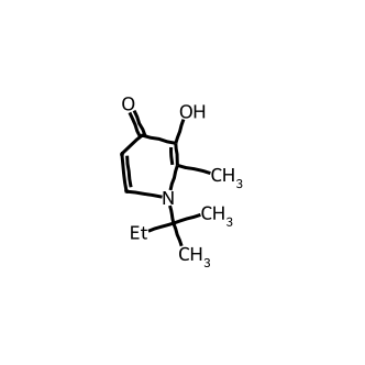 CCC(C)(C)n1ccc(=O)c(O)c1C